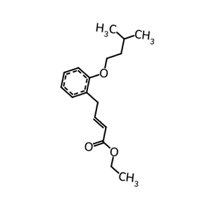 CCOC(=O)/C=C/Cc1ccccc1OCCC(C)C